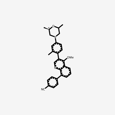 COc1c(-c2ccc(N3CC(C)O[C@H](C)C3)cc2C)cnc2c(-c3ccc(C#N)cc3)cccc12